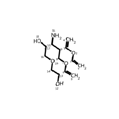 C=COC=C.C=COCCCN.OCCOCCO